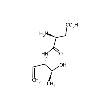 C=C[C@H](NC(=O)[C@@H](N)CC(=O)O)[C@H](C)O